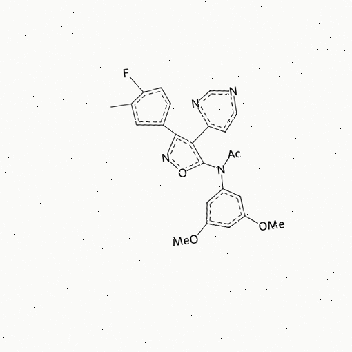 COc1cc(OC)cc(N(C(C)=O)c2onc(-c3ccc(F)c(C)c3)c2-c2ccncn2)c1